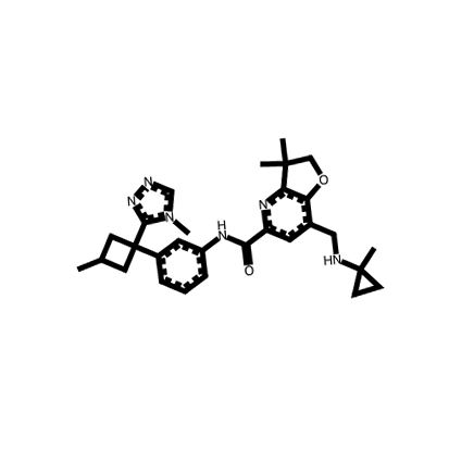 CC1CC(c2cccc(NC(=O)c3cc(CNC4(C)CC4)c4c(n3)C(C)(C)CO4)c2)(c2nncn2C)C1